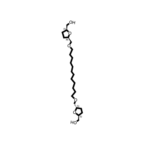 OC[C@@H]1CC[C@H](COCCCCCCCCCCCCOC[C@@H]2CC[C@@H](CO)O2)O1